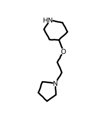 C1CCN(CCOC2CCNCC2)C1